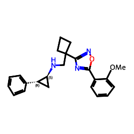 COc1ccccc1-c1nc(C2(CN[C@H]3C[C@@H]3c3ccccc3)CCC2)no1